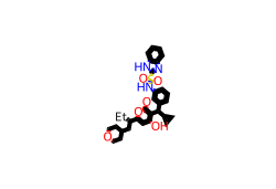 CCC(CC1CCOCC1)c1cc(O)c(C(c2cccc(NS(=O)(=O)c3nc4ccccc4[nH]3)c2)C2CC2)c(=O)o1